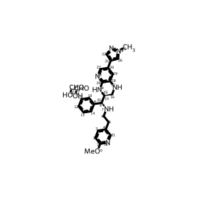 COc1ccc(CCN[C@@H](c2ccccc2)[C@@H]2CNc3cc(-c4cnn(C)c4)cnc3N2)cn1.O=CO.O=CO